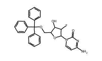 Nc1ccn(C2OC(COC(c3ccccc3)(c3ccccc3)c3ccccc3)C(O)C2F)c(=O)n1